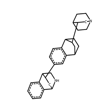 c1ccc2c(c1)C1CC(c3ccc4c(c3)C3CCC4C(C4CN5CCC4CC5)C3)C2CN1